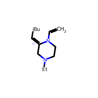 C=CN1CCN(CC)C/C1=C/C(C)CC